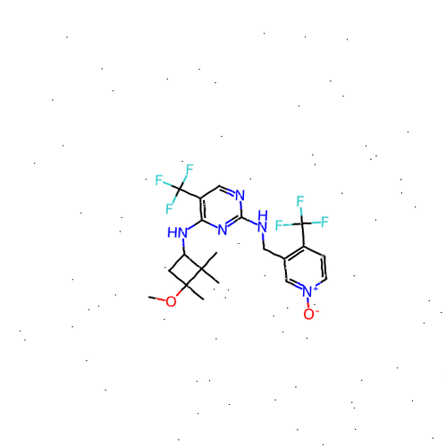 COC1(C)CC(Nc2nc(NCc3c[n+]([O-])ccc3C(F)(F)F)ncc2C(F)(F)F)C1(C)C